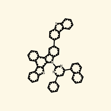 c1ccc(-c2cc(-c3cccc4ccccc34)nc(-n3c4ccc(-c5ccc6sc7ccccc7c6c5)cc4c4c5ccccc5c5c6ccccc6sc5c43)n2)cc1